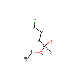 CC(C)(C)COC(C)(O)CCCCl